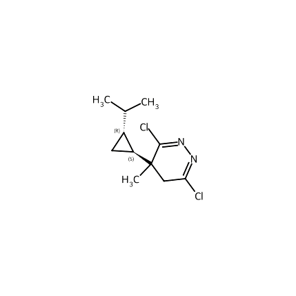 CC(C)[C@H]1C[C@@H]1C1(C)CC(Cl)=NN=C1Cl